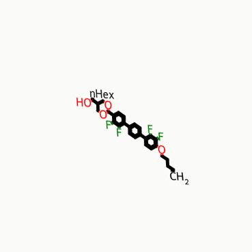 C=CCCCOc1ccc(-c2ccc(-c3ccc(C4OCC(C(O)CCCCCC)CO4)c(F)c3F)cc2)c(F)c1F